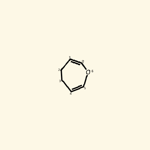 [C]1=CCCC=CO1